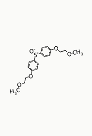 COCCOc1ccc([S+]([O-])c2ccc(OCCOC)cc2)cc1